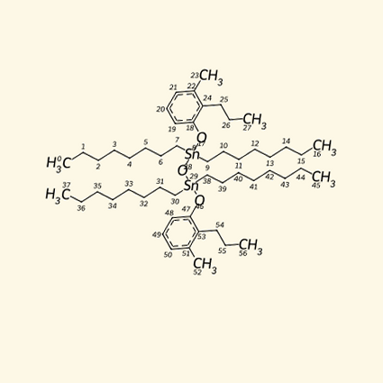 CCCCCCC[CH2][Sn]([CH2]CCCCCCC)([O]c1cccc(C)c1CCC)[O][Sn]([CH2]CCCCCCC)([CH2]CCCCCCC)[O]c1cccc(C)c1CCC